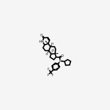 C[C@]12C=CC(=O)NC1CC[C@@H]1[C@H]2CC[C@]2(C)C(C(=O)N(c3ccc(C(F)(F)F)cc3)C3CCCC3)CC[C@@H]12